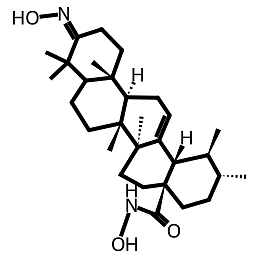 C[C@H]1[C@H](C)CC[C@]2(C(=O)NO)CC[C@]3(C)C(=CC[C@@H]4[C@@]5(C)CC/C(=N/O)C(C)(C)C5CC[C@]43C)[C@H]12